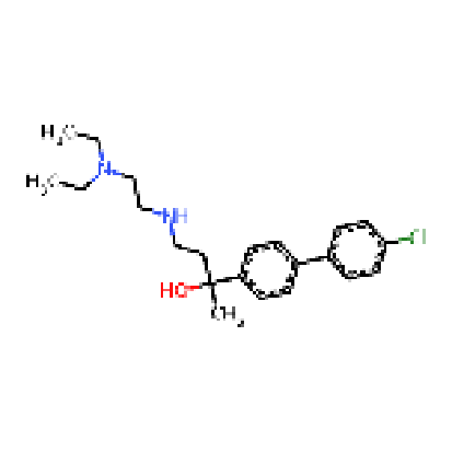 CCN(CC)CCNCCC(C)(O)c1ccc(-c2ccc(Cl)cc2)cc1